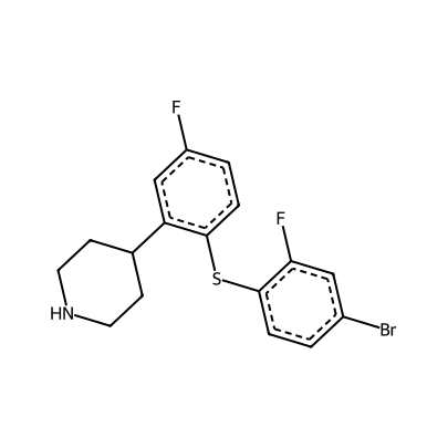 Fc1ccc(Sc2ccc(Br)cc2F)c(C2CCNCC2)c1